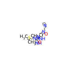 CC1=C(CC(C)Nc2cc[nH]c(=O)c2-c2nc3cc4c(cc3[nH]2)C(=O)N(CCCN2CCCC2)C4)SC(C)C1